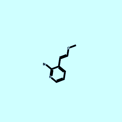 CO/C=C/c1cccnc1Br